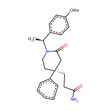 COc1ccc([C@H](C)N2CC[C@](CCC(N)=O)(c3ccccc3)CC2=O)cc1